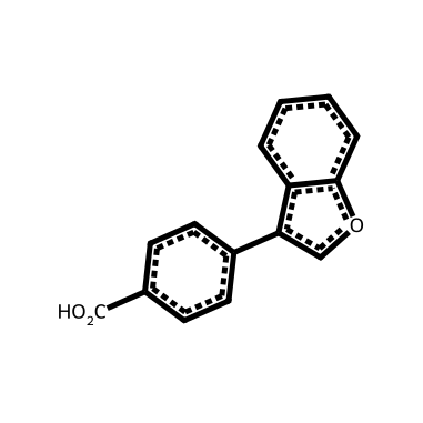 O=C(O)c1ccc(-c2coc3ccccc23)cc1